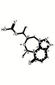 CC(OC(O)=S)[C@H]1Cn2nnc3ccc(=O)n(c32)[C@@H](C)O1